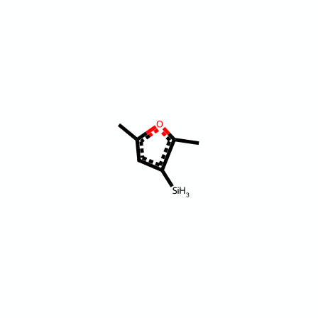 Cc1cc([SiH3])c(C)o1